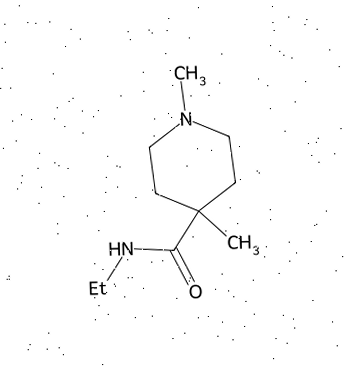 CCNC(=O)C1(C)CCN(C)CC1